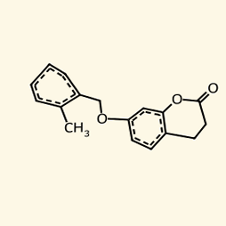 Cc1ccccc1COc1ccc2c(c1)OC(=O)CC2